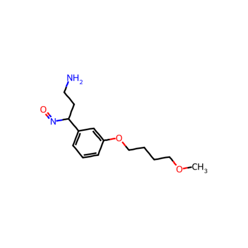 COCCCCOc1cccc(C(CCN)N=O)c1